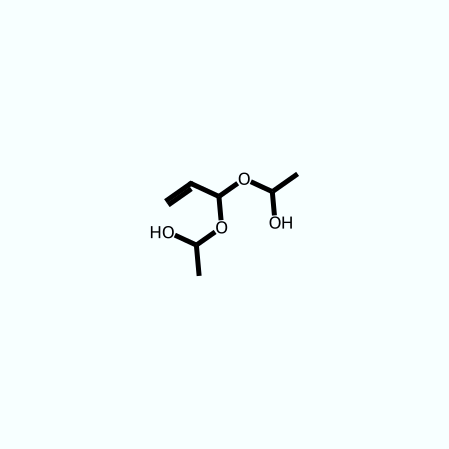 C=CC(OC(C)O)OC(C)O